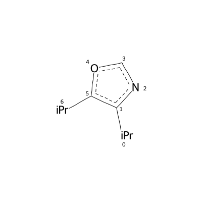 CC(C)c1ncoc1C(C)C